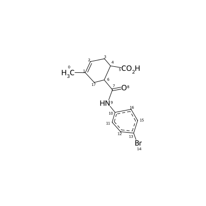 CC1=CCC(C(=O)O)C(C(=O)Nc2ccc(Br)cc2)C1